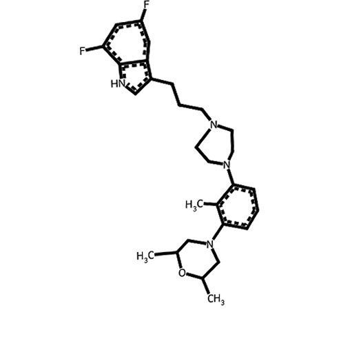 Cc1c(N2CCN(CCCc3c[nH]c4c(F)cc(F)cc34)CC2)cccc1N1CC(C)OC(C)C1